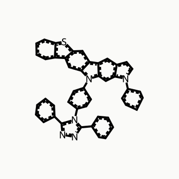 c1ccc(-c2nnc(-c3ccccc3)n2-c2ccc(-n3c4cc5c(cc4c4cc6ccn(-c7ccccc7)c6cc43)sc3ccccc35)cc2)cc1